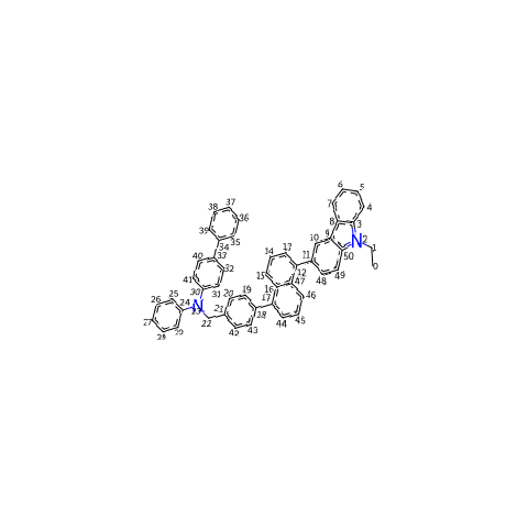 CCn1c2ccccc2c2cc(-c3cccc4c(-c5ccc(CN(c6ccccc6)c6ccc(-c7ccccc7)cc6)cc5)cccc34)ccc21